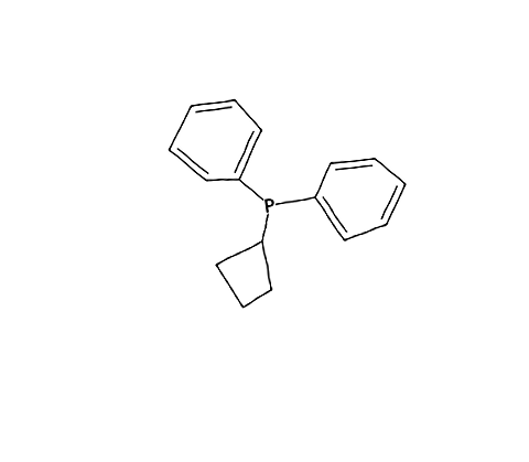 c1ccc(P(c2ccccc2)C2CCC2)cc1